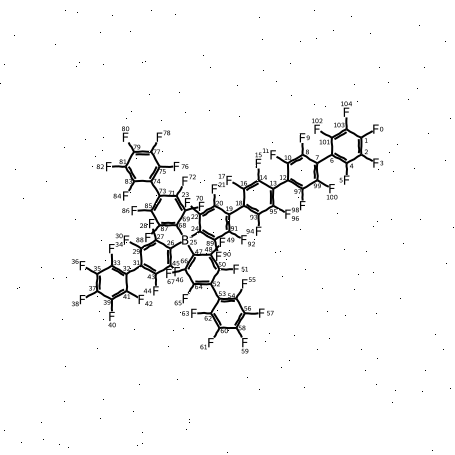 Fc1c(F)c(F)c(-c2c(F)c(F)c(-c3c(F)c(F)c(-c4c(F)c(F)c([B-](c5c(F)c(F)c(-c6c(F)c(F)c(F)c(F)c6F)c(F)c5F)(c5c(F)c(F)c(-c6c(F)c(F)c(F)c(F)c6F)c(F)c5F)c5c(F)c(F)c(-c6c(F)c(F)c(F)c(F)c6F)c(F)c5F)c(F)c4F)c(F)c3F)c(F)c2F)c(F)c1F